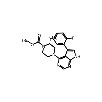 C[C@@H]1CN(c2ncnc3[nH]cc(-c4ccccc4F)c23)CCN1C(=O)OC(C)(C)C